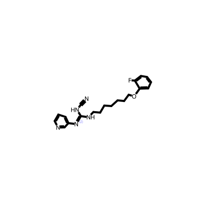 N#CN/C(=N\c1cccnc1)NCCCCCCCOc1ccccc1F